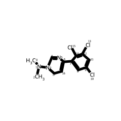 CN(C)N1C=NC(c2cc(Cl)cc(Cl)c2Cl)=CC1